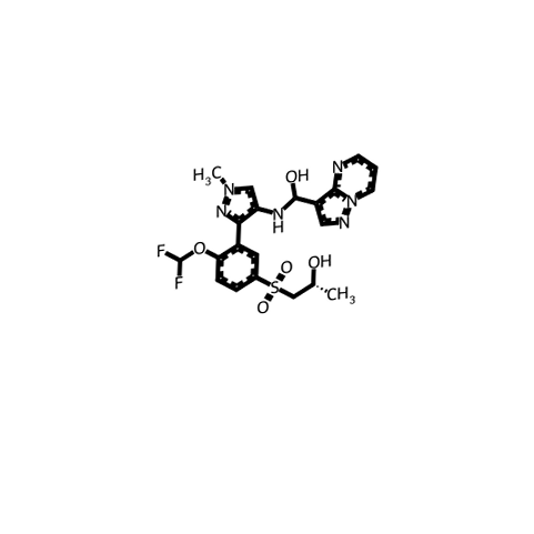 C[C@@H](O)CS(=O)(=O)c1ccc(OC(F)F)c(-c2nn(C)cc2NC(O)c2cnn3cccnc23)c1